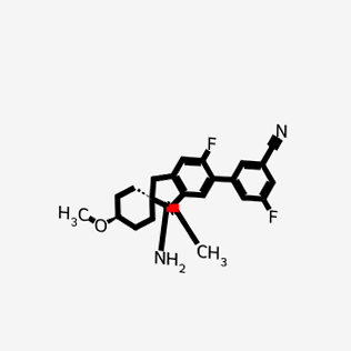 CO[C@H]1CC[C@]2(CC1)Cc1cc(F)c(-c3cc(F)cc(C#N)c3)cc1C21N=C(C)C(N)=N1